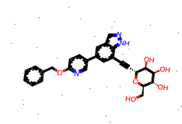 OC[C@H]1O[C@H](C#Cc2cc(-c3ccc(OCc4ccccc4)nc3)cc3cn[nH]c23)[C@@H](O)[C@@H](O)[C@@H]1O